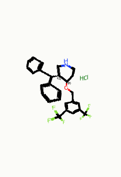 Cl.FC(F)(F)c1cc(CO[C@@H]2CCNC[C@@H]2C(c2ccccc2)c2ccccc2)cc(C(F)(F)F)c1